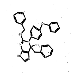 NC1(Cc2ccccc2)c2nc[nH]c2N=C(NCc2ccccc2)N1c1ccc(Oc2ccccc2)cc1